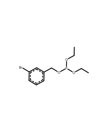 CCOP(OCC)OCc1cccc(Br)c1